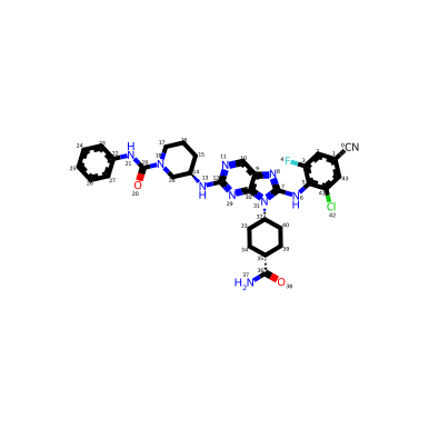 N#Cc1cc(F)c(Nc2nc3cnc(N[C@@H]4CCCN(C(=O)Nc5ccccc5)C4)nc3n2[C@H]2CC[C@@H](C(N)=O)CC2)c(Cl)c1